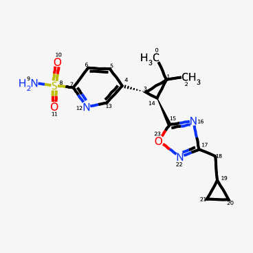 CC1(C)[C@@H](c2ccc(S(N)(=O)=O)nc2)[C@@H]1c1nc(CC2CC2)no1